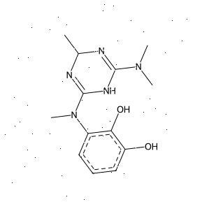 CC1N=C(N(C)C)NC(N(C)c2cccc(O)c2O)=N1